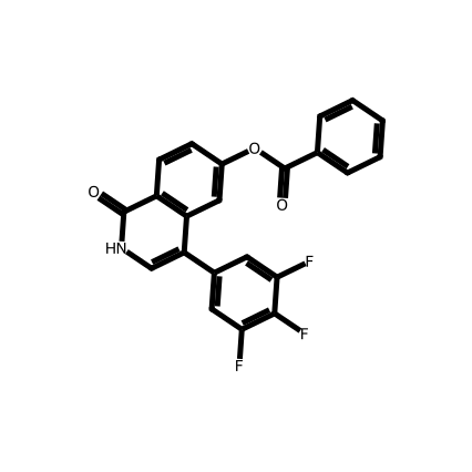 O=C(Oc1ccc2c(=O)[nH]cc(-c3cc(F)c(F)c(F)c3)c2c1)c1ccccc1